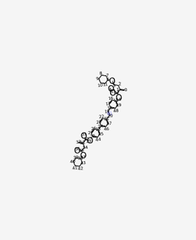 C=C(CC(=O)OC1CCCCC1)C(=O)Oc1ccc(/C=C/c2ccc(-c3ccc(OC(=O)C(=C)CC(=O)OC4CCCCC4)cc3)cc2)cc1